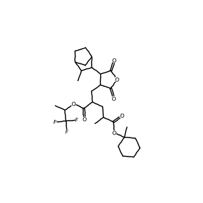 CC(CC(CC1C(=O)OC(=O)C1C1C2CCC(C2)C1C)C(=O)OC(C)C(F)(F)F)C(=O)OC1(C)CCCCC1